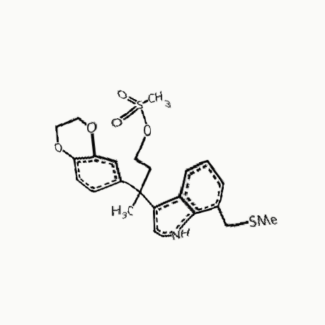 CSCc1cccc2c(C(C)(CCOS(C)(=O)=O)c3ccc4c(c3)OCCO4)c[nH]c12